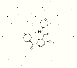 Cc1ccc(C(=O)N2CCOCC2)cc1C(=O)NC1CCOCC1